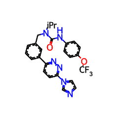 CC(C)N(Cc1cccc(-c2ccc(-n3ccnc3)nn2)c1)C(=O)Nc1ccc(OC(F)(F)F)cc1